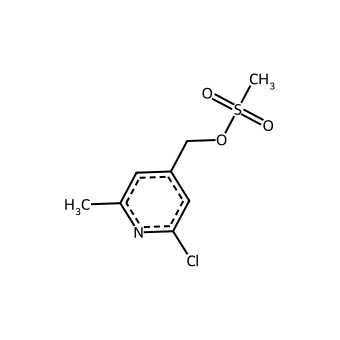 Cc1cc(COS(C)(=O)=O)cc(Cl)n1